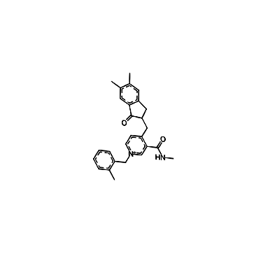 CNC(=O)c1c[n+](Cc2ccccc2C)ccc1CC1Cc2cc(C)c(C)cc2C1=O